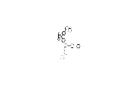 C=C/C(=C\C=C\c1nc(-c2ccc(-c3ccccc3)cc2)nc(-c2ccc3c(c2)Oc2cc(-c4cccc5cccnc45)ccc2C32c3ccccc3-c3ccccc32)n1)C1=CCCC=C1